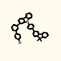 CC1(C)c2ccccc2-c2cc(-c3ccc(-n4c5ccccc5c5ccc(-c6cccc(-c7ccc(Br)cc7)c6)cc54)cc3)ccc21